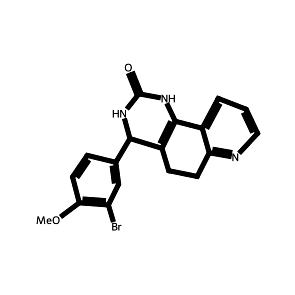 COc1ccc(C2NC(=O)NC3=C2CCc2ncccc23)cc1Br